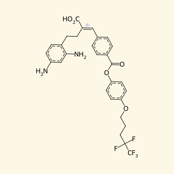 Nc1ccc(CC/C(=C\c2ccc(C(=O)Oc3ccc(OCCCC(F)(F)C(F)(F)F)cc3)cc2)C(=O)O)c(N)c1